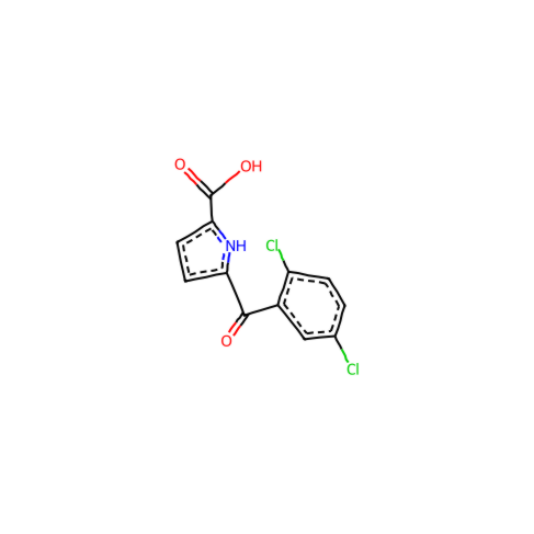 O=C(O)c1ccc(C(=O)c2cc(Cl)ccc2Cl)[nH]1